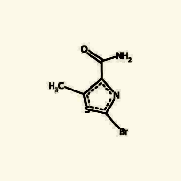 Cc1sc(Br)nc1C(N)=O